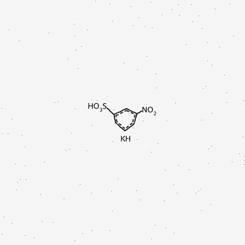 O=[N+]([O-])c1cccc(S(=O)(=O)O)c1.[KH]